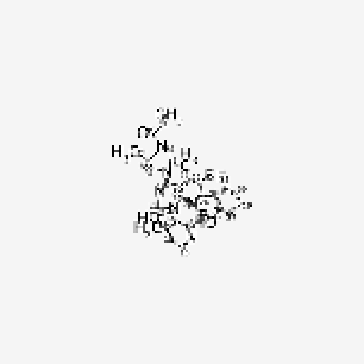 C=CC(=O)N1C[C@H](C)N(C2=NC(O)N(c3c(C)ccnc3C(C)C)c3nc(-c4c(O)cccc4F)c(F)cc32)C[C@H]1C